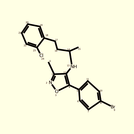 Cc1noc(-c2ccc(Br)cc2)c1NC(C)CCc1ccccc1Cl